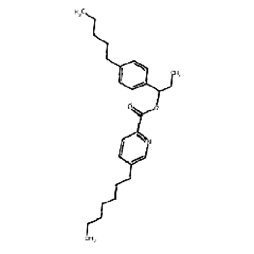 CCCCCCCc1ccc(C(=O)OC(CC)c2ccc(CCCCC)cc2)nc1